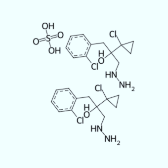 NNCC(O)(Cc1ccccc1Cl)C1(Cl)CC1.NNCC(O)(Cc1ccccc1Cl)C1(Cl)CC1.O=S(=O)(O)O